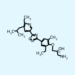 CCc1cc(-c2noc(-c3cnc(CC)c(CC(C)C)c3)n2)cc(C)c1OC[C@@H](O)CN